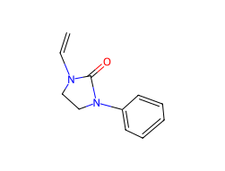 C=CN1CCN(c2ccccc2)C1=O